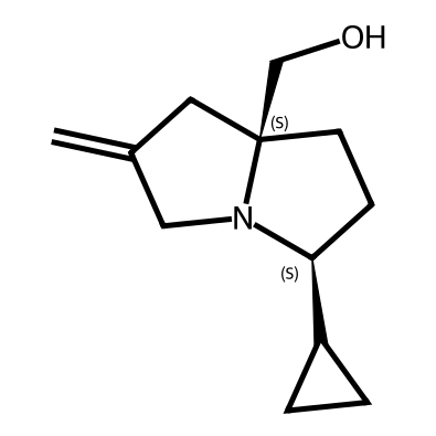 C=C1CN2[C@H](C3CC3)CC[C@@]2(CO)C1